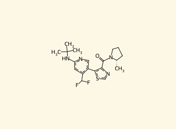 C[C@H]1CCCN1C(=O)c1ncsc1-c1cnc(NC(C)(C)C)cc1C(F)F